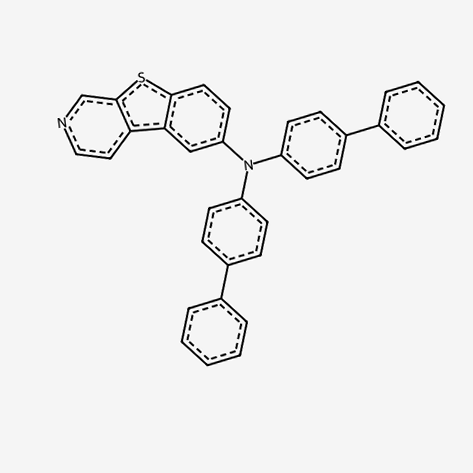 c1ccc(-c2ccc(N(c3ccc(-c4ccccc4)cc3)c3ccc4sc5cnccc5c4c3)cc2)cc1